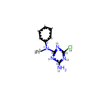 CC(C)N(c1ccccc1)c1nc(N)nc(Cl)n1